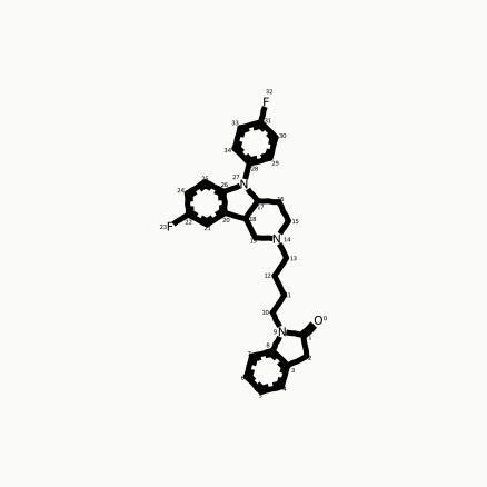 O=C1Cc2ccccc2N1CCCCN1CCC2C(C1)c1cc(F)ccc1N2c1ccc(F)cc1